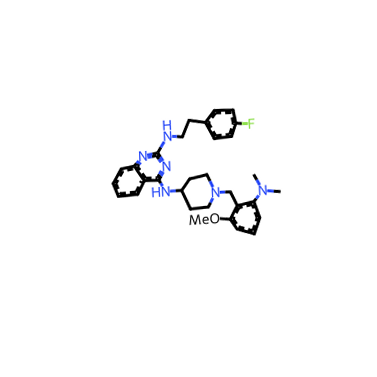 COc1cccc(N(C)C)c1CN1CCC(Nc2nc(NCCc3ccc(F)cc3)nc3ccccc23)CC1